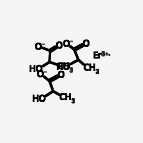 CC(O)C(=O)[O-].CC(O)C(=O)[O-].CC(O)C(=O)[O-].[Er+3]